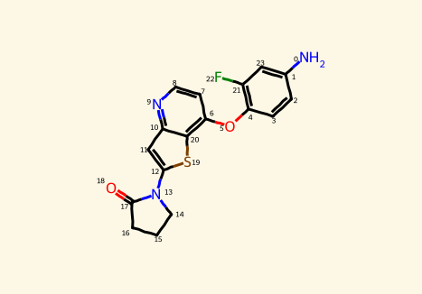 Nc1ccc(Oc2ccnc3cc(N4CCCC4=O)sc23)c(F)c1